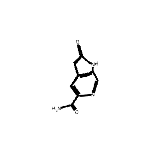 NC(=O)c1cc2c(cn1)NC(=O)C2